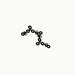 C1=CC(N(c2ccccc2)c2ccc(-c3cc4ccccc4o3)cc2)CC=C1C1Cc2c3c(c4ccccc4c2O1)OC(c1ccc(N(c2ccccc2)c2ccc(-c4cc5ccccc5o4)cc2)cc1)C3